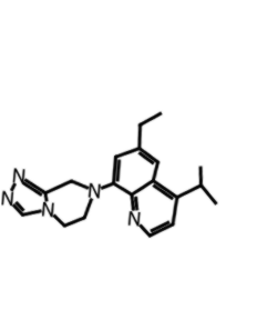 CCc1cc(N2CCn3cnnc3C2)c2nccc(C(C)C)c2c1